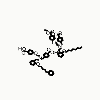 CCCCCCCCOc1ccccc1CCN(CCOc1ccc(C(=O)OCC)cc1)Cc1ccc(C(=O)OC)cc1.O=C(O)c1ccc(CN(CCOc2ccc(C(=O)O)cc2)CCc2ccccc2OCCCCCc2ccccc2)cc1